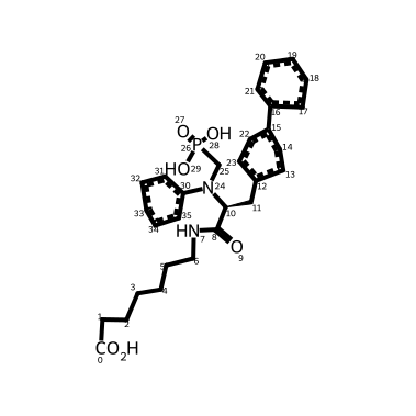 O=C(O)CCCCCCNC(=O)[C@H](Cc1ccc(-c2ccccc2)cc1)N(CP(=O)(O)O)c1ccccc1